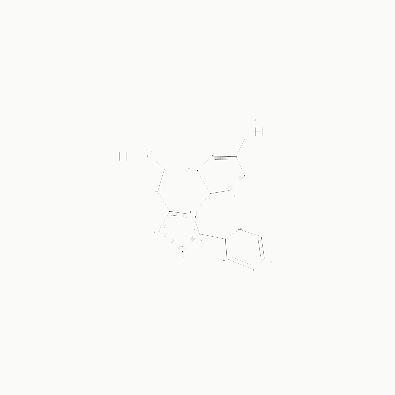 O=C(O)CCc1ccc(C2C=CC=CC2)n1C1C=CC(O)=CC1